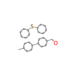 Cc1ccc(-c2ccc(C=O)cc2)cc1.c1ccc(Sc2ccccc2)cc1